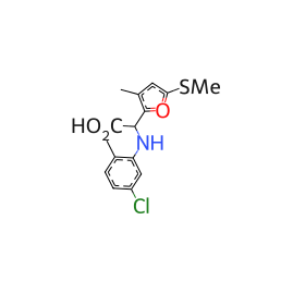 CSc1cc(C)c(C(Nc2cc(Cl)ccc2C)C(=O)O)o1